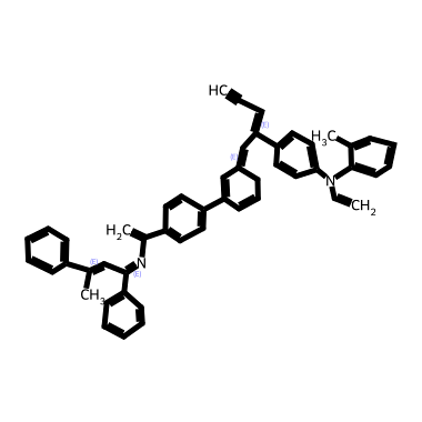 C#C/C=C(\C=C1\C=C(c2ccc(C(=C)/N=C(\C=C(/C)c3ccccc3)c3ccccc3)cc2)C=CC1)c1ccc(N(C=C)c2ccccc2C)cc1